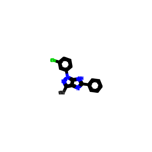 CC(C)(C)c1nn(-c2cccc(Cl)c2)c2[nH]c(-c3ccccc3)nc12